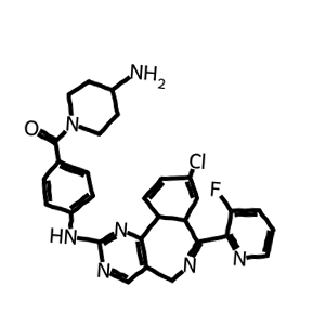 NC1CCN(C(=O)c2ccc(Nc3ncc4c(n3)C3C=CC(Cl)=CC3C(c3ncccc3F)=NC4)cc2)CC1